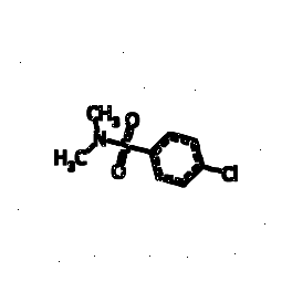 CN(C)S(=O)(=O)c1ccc(Cl)cc1